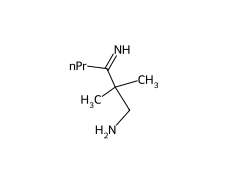 CCCC(=N)C(C)(C)CN